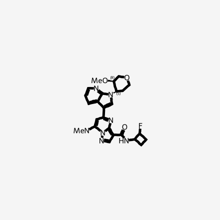 CNc1cc(-c2cn([C@H]3CCOC[C@@H]3OC)c3ncccc23)nc2c(C(=O)NC3CCC3F)cnn12